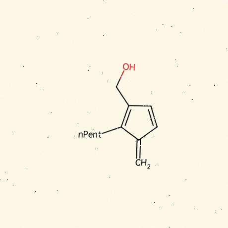 C=C1C=CC(CO)=C1CCCCC